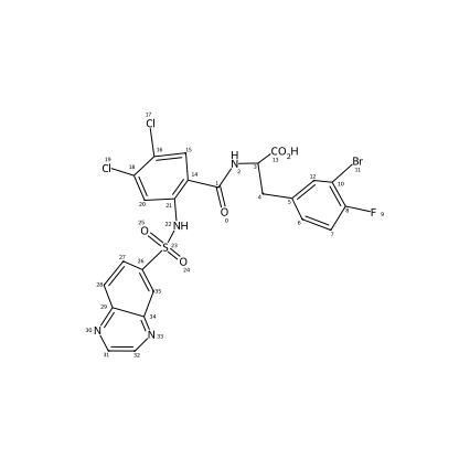 O=C(NC(Cc1ccc(F)c(Br)c1)C(=O)O)c1cc(Cl)c(Cl)cc1NS(=O)(=O)c1ccc2nccnc2c1